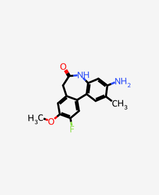 COc1cc2c(cc1F)-c1cc(C)c(N)cc1NC(=O)C2